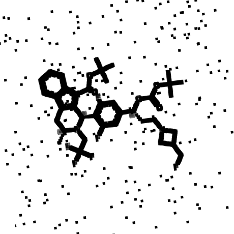 C[C@@H]1Cc2c(n(C(=O)OC(C)(C)C)c3ccccc23)[C@@H](c2c(F)cc([C@@H](CCN3CC(CF)C3)OC(=O)OC(C)(C)C)cc2F)N1CC(F)(F)F